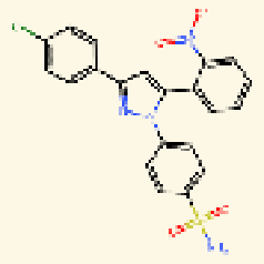 NS(=O)(=O)c1ccc(-n2nc(-c3ccc(Cl)cc3)cc2-c2ccccc2[N+](=O)[O-])cc1